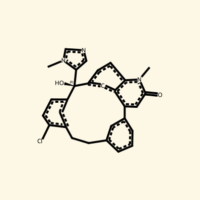 Cn1cncc1[C@@]1(O)c2ccc(Cl)c(c2)CCc2cccc(c2)-c2cc(=O)n(C)c3ccc1cc23